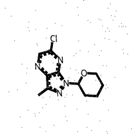 Cc1nn(C2CCCCO2)c2nc(Cl)cnc12